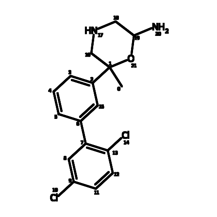 CC1(c2cccc(-c3cc(Cl)ccc3Cl)c2)CNCC(N)O1